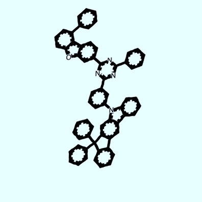 c1ccc(-c2nc(-c3cccc(-n4c5ccccc5c5cc6c(cc54)C(c4ccccc4)(c4ccccc4)c4ccccc4-6)c3)nc(-c3ccc4c(c3)oc3cccc(-c5ccccc5)c34)n2)cc1